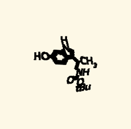 C[C@H](CNC(=O)OC(C)(C)C)c1c[nH]c2cc(O)ccc12